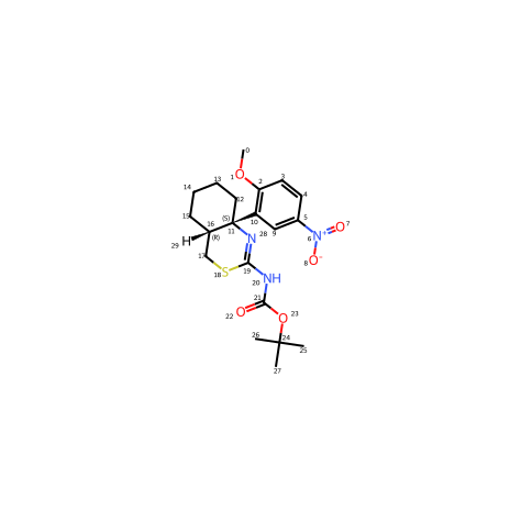 COc1ccc([N+](=O)[O-])cc1[C@]12CCCC[C@H]1CSC(NC(=O)OC(C)(C)C)=N2